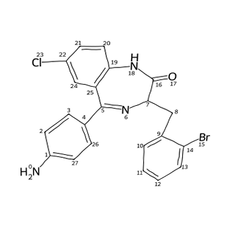 Nc1ccc(C2=NC(Cc3ccccc3Br)C(=O)Nc3ccc(Cl)cc32)cc1